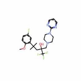 COc1ccc(F)cc1C(C)(C)CC(O)(CN1CCN(c2ncccn2)CC1)C(F)(F)F